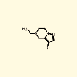 CCN1CCn2ncc(Br)c2C1